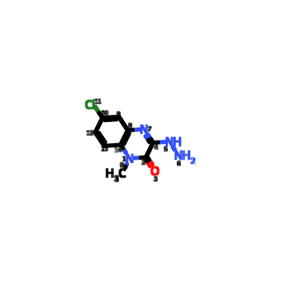 Cn1c(=O)c(NN)nc2cc(Cl)ccc21